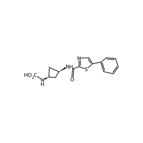 O=C(O)N[C@H]1C[C@@H](NC(=O)c2ncc(-c3ccccc3)s2)C1